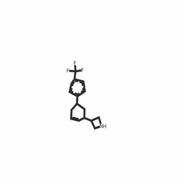 FC(F)(F)c1ccc(C2CC=CC(C3CNC3)C2)cc1